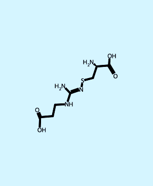 N/C(=N\SC[C@@H](N)C(=O)O)NCCC(=O)O